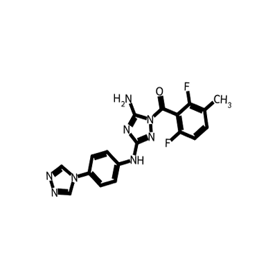 Cc1ccc(F)c(C(=O)n2nc(Nc3ccc(-n4cnnc4)cc3)nc2N)c1F